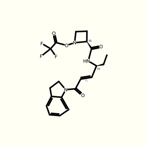 CC[C@@H](/C=C/C(=O)N1CCc2ccccc21)NC(=O)[C@@H]1CCN1OC(=O)C(F)(F)F